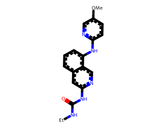 CCNC(=O)Nc1cc2cccc(Nc3ccc(OC)cn3)c2cn1